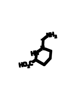 N[CH]N1CCCC(C(=O)O)N1